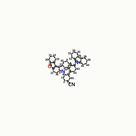 N#Cc1ccc(-n2c3ccccc3c3c4c(ccc32)oc2ccccc24)c(-c2ccc(-n3c4ccccc4c4ccccc43)cc2)c1